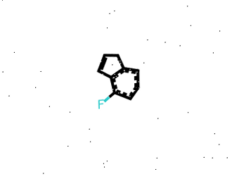 Fc1cccc2c1C=CC2